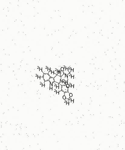 [2H]c1c([2H])c([C@]2([2H])c3[nH]c4c([2H])c([2H])c([2H])c([2H])c4c3C([2H])([2H])[C@@H]3C(=O)N(C([2H])([2H])[2H])CC(=O)N32)c([2H])c2c1OC([2H])([2H])O2